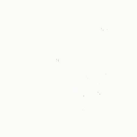 O=C1NC(=O)/C(=C/c2cn(Cc3ccc([N+](=O)[O-])cc3)c3ccccc23)S1